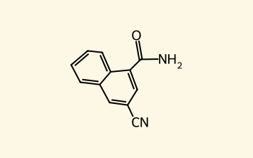 N#Cc1cc(C(N)=O)c2ccccc2c1